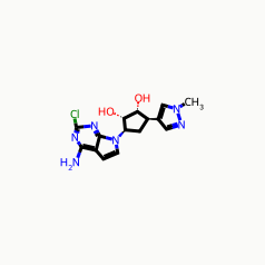 Cn1cc([C@H]2C[C@@H](n3ccc4c(N)nc(Cl)nc43)[C@H](O)[C@@H]2O)cn1